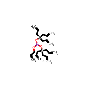 C=CCOP(O[Si](CC=C)(CC=C)CC=C)O[Si](CC=C)(CC=C)CC=C